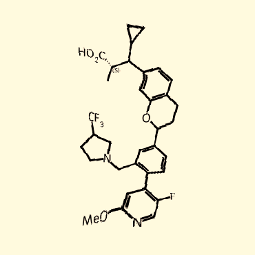 COc1cc(-c2ccc(C3CCc4ccc(C(C5CC5)[C@H](C)C(=O)O)cc4O3)cc2CN2CCC(C(F)(F)F)C2)c(F)cn1